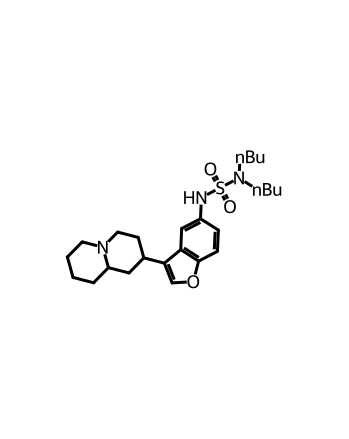 CCCCN(CCCC)S(=O)(=O)Nc1ccc2occ(C3CCN4CCCCC4C3)c2c1